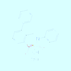 CC(C)(C)OC(=O)c1cccc(-c2ccccc2)c1CN(c1ccccc1)S(C)(=O)=O